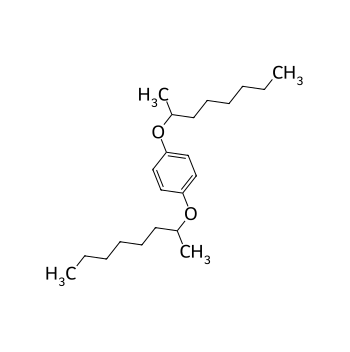 CCCCCCC(C)Oc1ccc(OC(C)CCCCCC)cc1